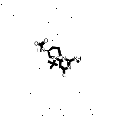 CNc1nc(Cl)cc([N+]2(C(C)(C)C)CCC[C@@H](NC(=O)[O-])C2)n1